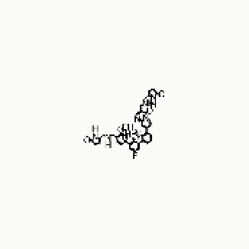 COc1nc(-c2cc(F)cc(-c3cccc(-c4ccn5c(=O)c(CNC[C@H]6CCC(=O)N6)cnc5c4)c3C)c2Cl)ccc1CNC[C@H]1CCC(=O)N1